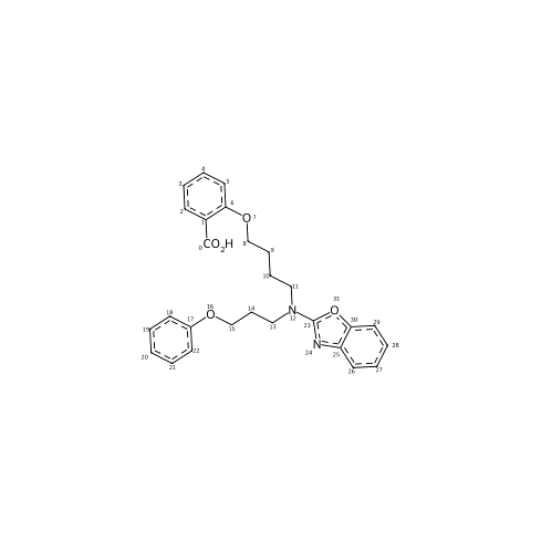 O=C(O)c1ccccc1OCCCCN(CCCOc1ccccc1)c1nc2ccccc2o1